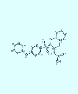 O=C(O)O[C@@H]1Cc2ccccc2CN1S(=O)(=O)c1ccc(Oc2ccccc2)cc1